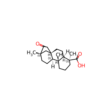 C[C@@]12CC[C@H]3[C@@](CC[C@@H]4[C@]3(C)CCC[C@]4(C)C(=O)O)(CC1=O)C2